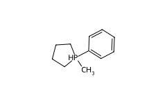 C[PH]1(c2ccccc2)CCCC1